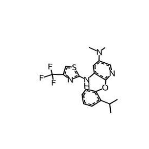 CC(C)c1ccccc1Oc1ncc(N(C)C)cc1Nc1nc(C(F)(F)F)cs1